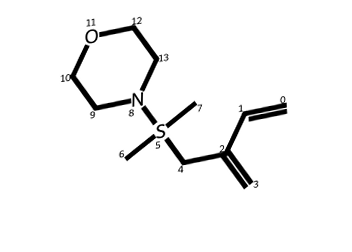 C=CC(=C)CS(C)(C)N1CCOCC1